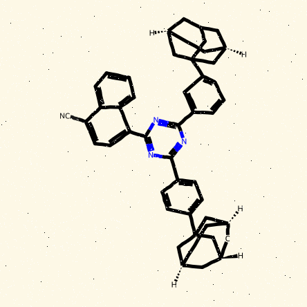 N#Cc1ccc(-c2nc(-c3ccc(C45C[C@H]6C[C@@H](C4)C[C@@H](C5)C6)cc3)nc(-c3cccc(C45CC6C[C@H](C4)C[C@@H](C6)C5)c3)n2)c2ccccc12